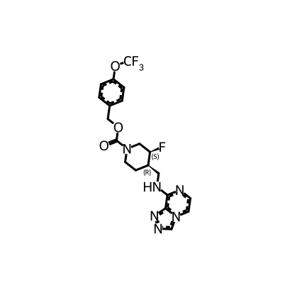 O=C(OCc1ccc(OC(F)(F)F)cc1)N1CC[C@H](CNc2nccn3cnnc23)[C@H](F)C1